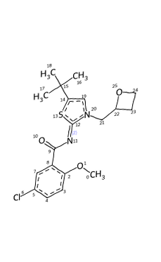 COc1ccc(Cl)cc1C(=O)/N=c1\sc(C(C)(C)C)cn1CC1CCO1